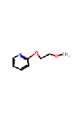 COCCOc1[c]cccn1